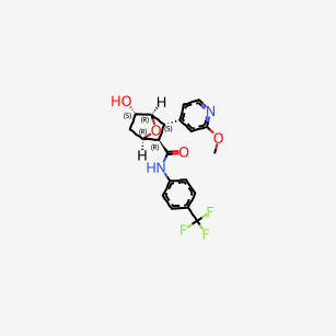 COc1cc([C@H]2[C@H]3O[C@H](C[C@@H]3O)[C@@H]2C(=O)Nc2ccc(C(F)(F)F)cc2)ccn1